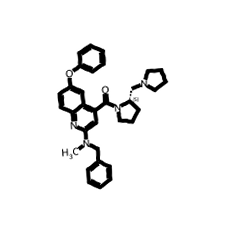 CN(Cc1ccccc1)c1cc(C(=O)N2CCC[C@H]2CN2CCCC2)c2cc(Oc3ccccc3)ccc2n1